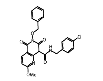 COc1ccc2c(n1)C(C(=O)NCc1ccc(Cl)cc1)C(=O)N(OCc1ccccc1)C2=O